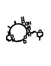 C=C1C[C@H](C)C[C@@H]2CC=C[C@@H](C/C=C\C(=O)O[C@H]3C[C@@H](O[C@H]3/C=C/[C@@H]3CC(C)=CCO3)[C@@H](O)[C@@H](O)C1)O2